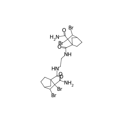 NC(=O)C1(Br)C(Br)C2CCC1(C(=O)NCCNC(=O)C13CCC(C1)C(Br)C3(Br)C(N)=O)C2